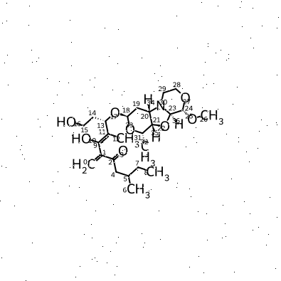 C=C(C(=O)CC(C)CC)/C(O)=C(\C)[C@H](CCO)O[C@H]1C[C@H]2[C@H](O[C@@H]3[C@@H](OC)OCCN32)[C@H](C)O1